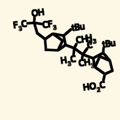 CC(C)(C)C1C2CC(CC2CC(O)(C(F)(F)F)C(F)(F)F)C1C(C)(C)C(C)(C)C1C2CC(CC2C(=O)O)C1C(C)(C)C